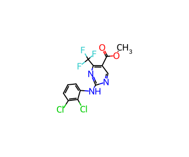 COC(=O)c1cnc(Nc2cccc(Cl)c2Cl)nc1C(F)(F)F